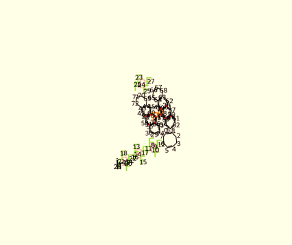 C1=C\CC/C=C\CC/1.F[B-](F)(F)F.F[B-](F)(F)F.F[B-](F)(F)F.F[B-](F)(F)F.[Ir+4].c1ccc(P(c2ccccc2)c2ccc3c(c2-c2c(P(c4ccccc4)c4ccccc4)ccc4c2CCCC4)CCCC3)cc1